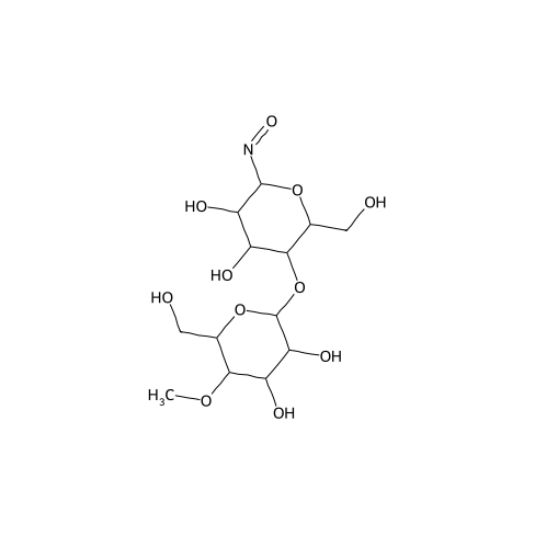 COC1C(CO)OC(OC2C(CO)OC(N=O)C(O)C2O)C(O)C1O